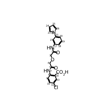 O=C(COCC(=O)Nc1ccc(Cl)cc1C(=O)O)Nc1cccc(-n2cccc2)c1